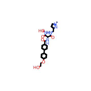 Cn1ccc(CNC(=O)C(NC(=O)c2ccc(-c3ccc(OCCO)cc3)cc2)C(=O)NO)n1